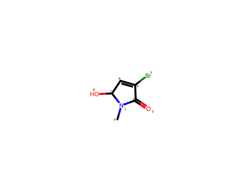 CN1C(=O)C(Br)=CC1O